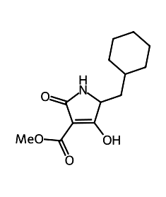 COC(=O)C1=C(O)C(CC2CCCCC2)NC1=O